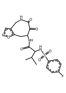 CC(C)C(NS(=O)(=O)c1ccc(F)cc1)C(=O)NC1Cc2oncc2CNC(=O)C1=O